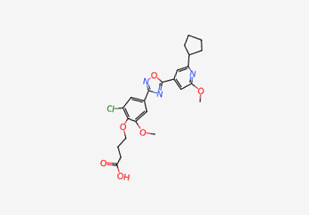 COc1cc(-c2nc(-c3cc(Cl)c(OCCCC(=O)O)c(OC)c3)no2)cc(C2CCCC2)n1